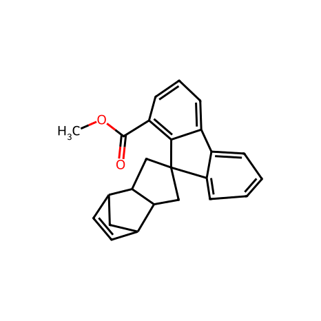 COC(=O)c1cccc2c1C1(CC3C4C=CC(C4)C3C1)c1ccccc1-2